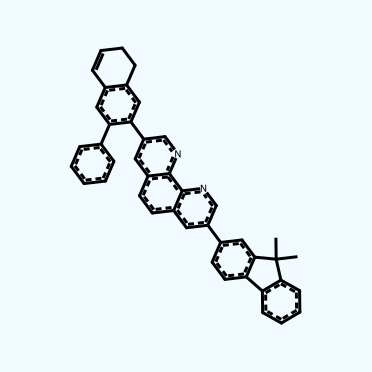 CC1(C)c2ccccc2-c2ccc(-c3cnc4c(ccc5cc(-c6cc7c(cc6-c6ccccc6)C=CCC7)cnc54)c3)cc21